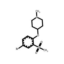 CN1CCC(Oc2ccc(Br)cc2S(C)(=O)=O)CC1